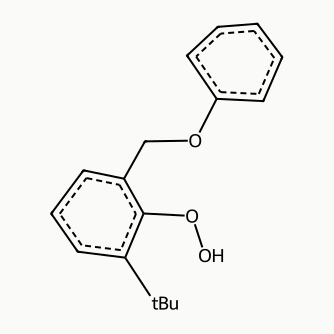 CC(C)(C)c1cccc(COc2ccccc2)c1OO